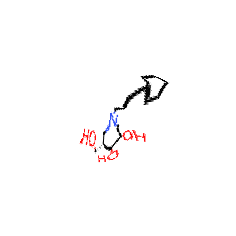 OC[C@@H]1CN(CC=Cc2ccccc2)C[C@H](O)[C@H]1O